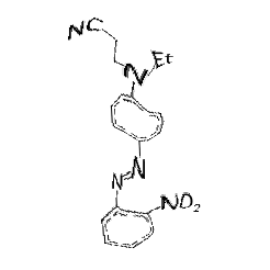 CCN(CCC#N)c1ccc(N=Nc2ccccc2[N+](=O)[O-])cc1